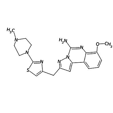 COc1cccc2c1nc(N)n1nc(Cc3csc(N4CCN(C)CC4)n3)cc21